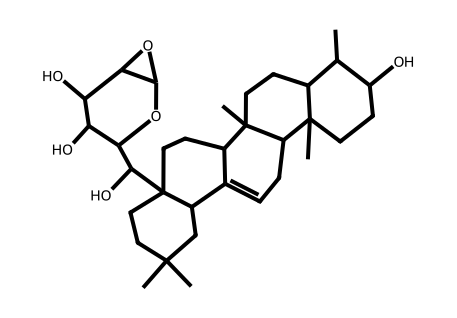 CC1C(O)CCC2(C)C1CCC1(C)C3CCC4(C(O)C5OC6OC6C(O)C5O)CCC(C)(C)CC4C3=CCC12